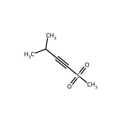 CC(C)C#CS(C)(=O)=O